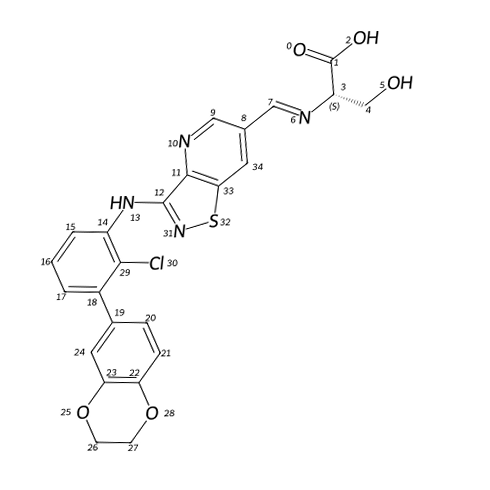 O=C(O)[C@H](CO)N=Cc1cnc2c(Nc3cccc(-c4ccc5c(c4)OCCO5)c3Cl)nsc2c1